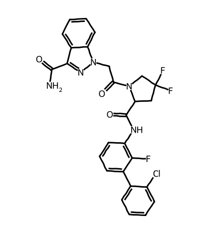 NC(=O)c1nn(CC(=O)N2CC(F)(F)CC2C(=O)Nc2cccc(-c3ccccc3Cl)c2F)c2ccccc12